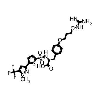 Cn1nc(-c2ccc(S(=O)(=O)N[C@@H](Cc3ccc(OCCCONC(=N)N)cc3)C(=O)O)s2)cc1C(F)(F)F